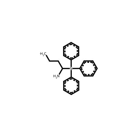 [CH2]CCC(N)[Si](c1ccccc1)(c1ccccc1)c1ccccc1